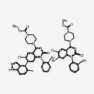 CC(C)c1ccccc1-n1c(=O)nc(N2CCN(C(=O)OC(C)(C)C)CC2)c2cc(Cl)c(Br)cc21.Cc1ccc2[nH]ncc2c1-c1cc2c(cc1Cl)c(N1CCN(C(=O)OC(C)(C)C)CC1)nc(=O)n2-c1ccccc1C(C)C